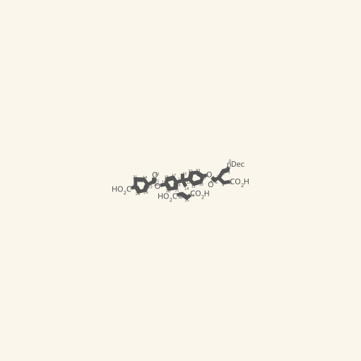 CCCCCCCCCCC=CC(CC(=O)O)C(=O)Oc1ccc(C(C)(C)c2ccc(OC(=O)c3ccc(C(=O)O)cc3)cc2)cc1.O=C(O)/C=C/C(=O)O